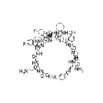 NCCCC[C@@H]1NC(=O)CCSCc2cccc(c2)CSC[C@@H](C(N)=O)NC(=O)[C@@H]2CCCN2C(=O)[C@H](Cc2ccc(O)cc2)NC(=O)[C@H](CC2CNC3(CCCCCCC3)N2)NC(=O)[C@@H](CC(=O)O)NC(=O)[C@H](CC2CNC3CCC(F)CC23C2CCCCCCCCC2)NC(=O)[C@H](Cc2c[nH]c3ccc(F)cc23)NC(=O)CNC1=O